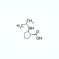 CC(C)N[C@@H]1CCC[C@@H]1C(=O)O